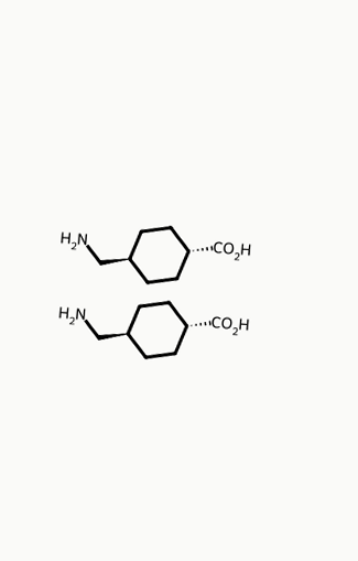 NC[C@H]1CC[C@H](C(=O)O)CC1.NC[C@H]1CC[C@H](C(=O)O)CC1